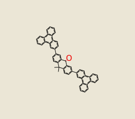 CC1(C)c2ccc(-c3ccc4c5ccccc5c5ccccc5c4c3)cc2C(=O)c2cc(-c3ccc4c5ccccc5c5ccccc5c4c3)ccc21